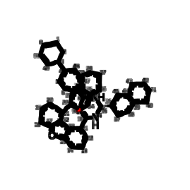 C1=CCC(c2ccc(C3N=C(c4cccc5oc6cccc(-c7ccc8ccccc8c7)c6c45)N[C@@H](c4ccc5ccccc5c4)N3)cc2)C=C1